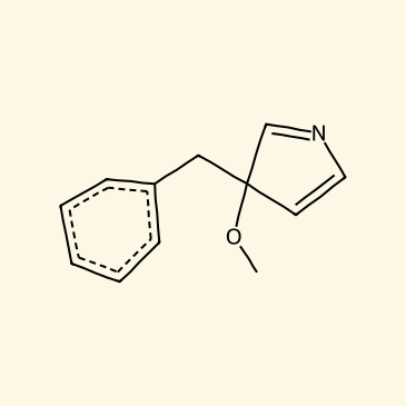 COC1(Cc2ccccc2)C=CN=C1